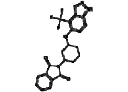 O=C1c2ccccc2C(=O)N1C1CCCC(Oc2ccc3[nH]ncc3c2C(F)(F)F)C1